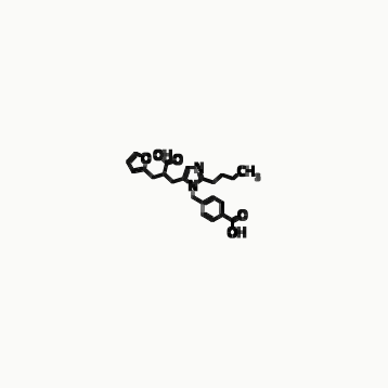 CCCCc1ncc(CC(Cc2ccco2)C(=O)O)n1Cc1ccc(C(=O)O)cc1